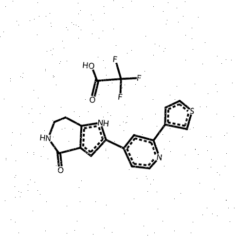 O=C(O)C(F)(F)F.O=C1NCCc2[nH]c(-c3ccnc(-c4ccsc4)c3)cc21